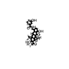 CN(C)[C@@H]1C(O)=C(C(N)=O)C(=O)[C@@]2(O)C(O)=C3C(=O)c4c(O)ccc(CNC(=O)c5cc(O)ncn5)c4C[C@H]3C[C@@H]12